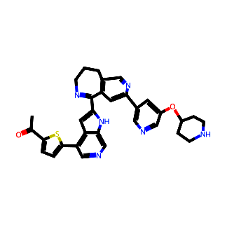 CC(=O)c1ccc(-c2cncc3[nH]c(C4=NCCCc5cnc(-c6cncc(OC7CCNCC7)c6)cc54)cc23)s1